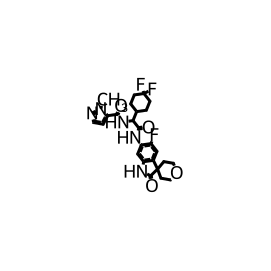 Cn1nccc1C(=O)NC(C(=O)Nc1cc2c(cc1F)C1(CCOCC1)C(=O)N2)C1CCC(F)(F)CC1